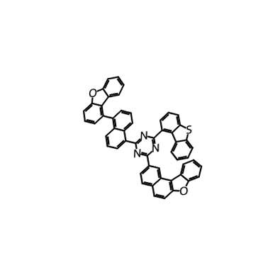 c1ccc2c(c1)oc1cccc(-c3cccc4c(-c5nc(-c6ccc7ccc8oc9ccccc9c8c7c6)nc(-c6cccc7sc8ccccc8c67)n5)cccc34)c12